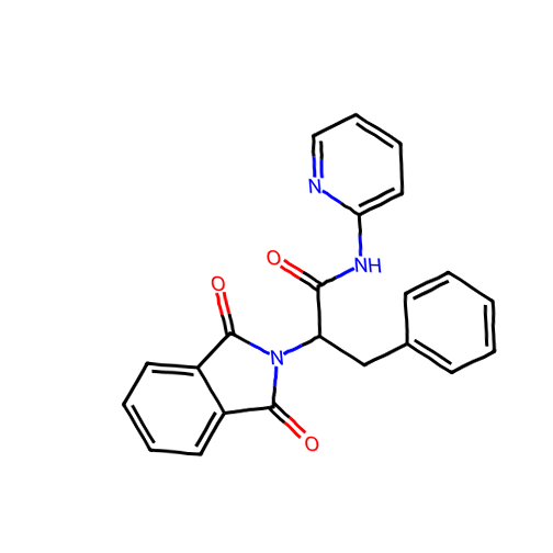 O=C(Nc1ccccn1)C(Cc1ccccc1)N1C(=O)c2ccccc2C1=O